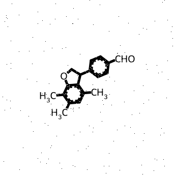 Cc1cc(C)c2c(c1C)OCC2c1ccc(C=O)cc1